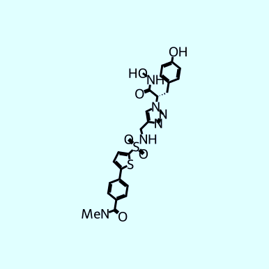 CNC(=O)c1ccc(-c2ccc(S(=O)(=O)NCc3cn([C@@H](Cc4ccc(O)cc4)C(=O)NO)nn3)s2)cc1